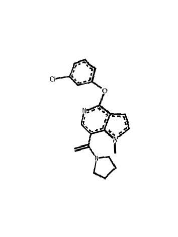 C=C(c1cnc(Oc2cccc(Cl)c2)c2ccn(C)c12)N1CCCC1